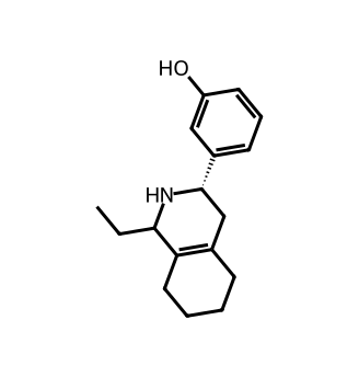 CCC1N[C@H](c2cccc(O)c2)CC2=C1CCCC2